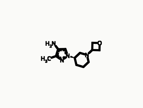 Cc1nn([C@H]2CCCN(C3COC3)C2)cc1N